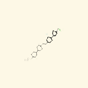 CCCC1CCC(C2CCC(CCc3ccc(-c4ccc(CCl)cc4)c(F)c3)CC2)CC1